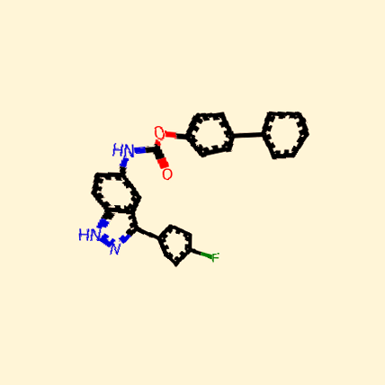 O=C(Nc1ccc2[nH]nc(-c3ccc(F)cc3)c2c1)Oc1ccc(-c2ccccc2)cc1